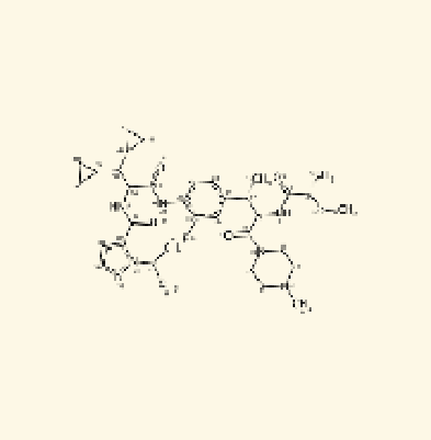 CO[C@@H](C)C(=O)N[C@@H](C(=O)N1CCN(C)CC1)[C@@H](C)c1ccc(NC(=O)[C@@H](NC(=O)c2ccnn2C(C)C)C(C2CC2)C2CC2)c(F)c1